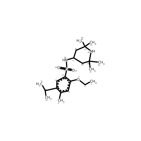 CCOc1cc(C)c(C(C)C)cc1S(=O)(=O)NC1CC(C)(C)NC(C)(C)C1